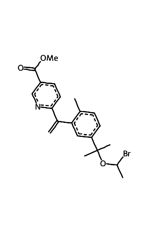 C=C(c1ccc(C(=O)OC)cn1)c1cc(C(C)(C)OC(C)Br)ccc1C